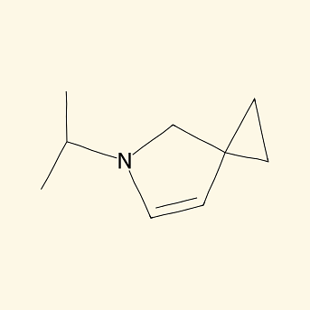 CC(C)N1C=CC2(CC2)C1